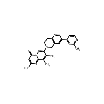 Cc1cc(-c2cnc3c(c2)CN(c2nn4c(=O)cc(C)nc4c(C)c2C)CC3)ccn1